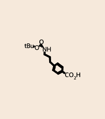 CC(C)(C)OC(=O)NCCCc1ccc(C(=O)O)cc1